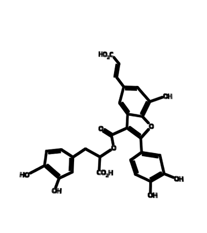 O=C(O)C=Cc1cc(O)c2oc(-c3ccc(O)c(O)c3)c(C(=O)OC(Cc3ccc(O)c(O)c3)C(=O)O)c2c1